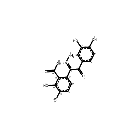 NN=C(C(=O)c1ccc(O)c(O)c1)c1ccc(O)c(O)c1C(=O)O